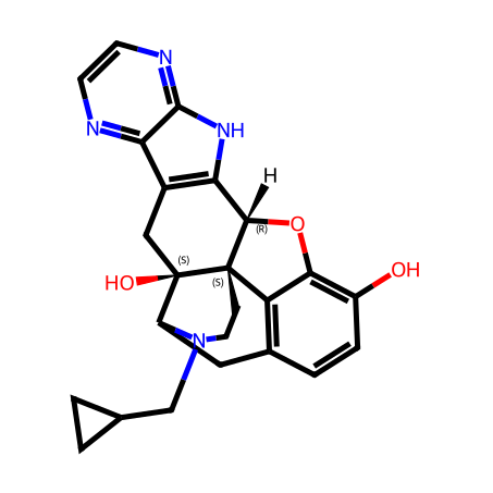 Oc1ccc2c3c1O[C@H]1c4[nH]c5nccnc5c4C[C@@]4(O)C(C2)N(CC2CC2)CC[C@]314